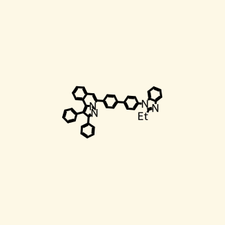 CCc1nc2ccccc2n1-c1ccc(-c2ccc(-c3cc4ccccc4c4c(-c5ccccc5)c(-c5ccccc5)nn34)cc2)cc1